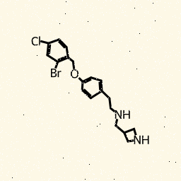 Clc1ccc(COc2ccc(CCNCC3CNC3)cc2)c(Br)c1